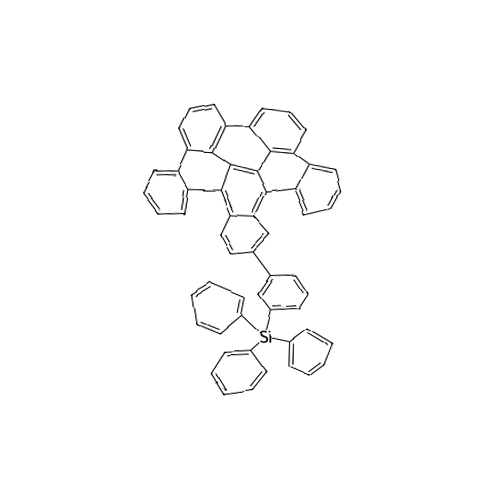 c1ccc([Si](c2ccccc2)(c2ccccc2)c2cccc(-c3ccc4c(c3)c3c5ccccc5c5cccc6c7cccc8c9ccccc9c4c(c87)c3c56)c2)cc1